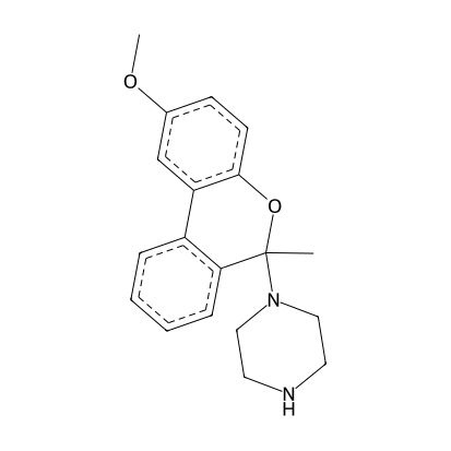 COc1ccc2c(c1)-c1ccccc1C(C)(N1CCNCC1)O2